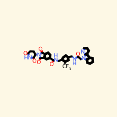 O=C(Cn1c2ccccc2c2cccnc21)NCc1ccc(CNC(=O)c2ccc3c(c2)C(=O)N(C2CCC(=O)NC2=O)C3=O)c(C(F)(F)F)c1